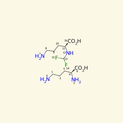 NCCC[C@H](N)C(=O)O.NCCC[C@H](NC(F)F)C(=O)O